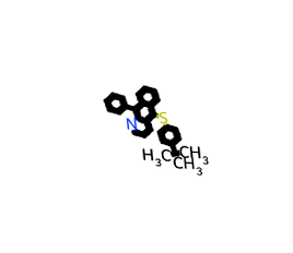 CC(C)(C)c1ccc(Sc2c3ccccc3c(-c3ccccc3)c3ncccc23)cc1